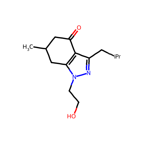 CC(C)Cc1nn(CCO)c2c1C(=O)CC(C)C2